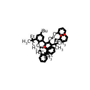 CCC(C)c1cc(-c2cc(C(C)(C)CC)cc(C(C)(C)CC)c2OP(Oc2ccccc2)Oc2ccccc2)c(Op2oc3ccccc3c3ccccc3o2)c(C(C)(C)CC)c1